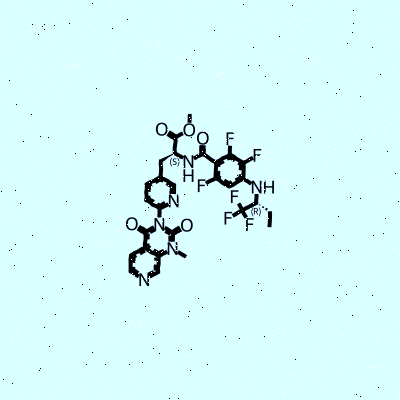 CC[C@@H](Nc1cc(F)c(C(=O)N[C@@H](Cc2ccc(-n3c(=O)c4ccncc4n(C)c3=O)nc2)C(=O)OC)c(F)c1F)C(F)(F)F